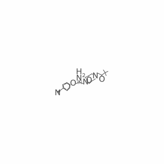 CC(C)(C)C(=O)CN1CC2CN(C[C@H](N)COc3ccc(C#N)cc3)CC(C1)O2